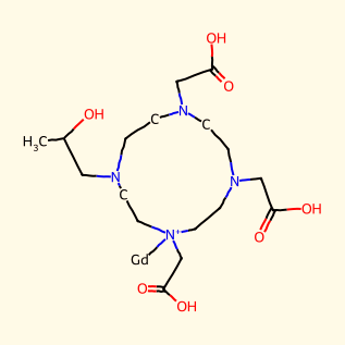 CC(O)CN1CCN(CC(=O)O)CCN(CC(=O)O)CC[N+]([Gd])(CC(=O)O)CC1